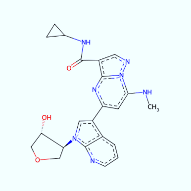 CNc1cc(-c2cn([C@H]3COC[C@@H]3O)c3ncccc23)nc2c(C(=O)NC3CC3)cnn12